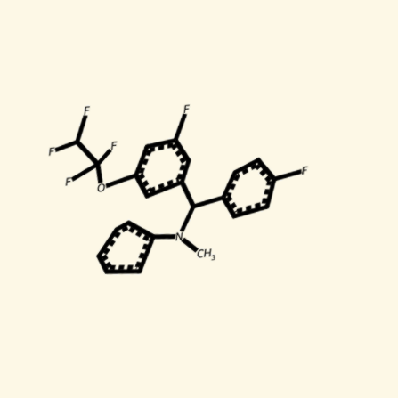 CN(c1ccccc1)C(c1ccc(F)cc1)c1cc(F)cc(OC(F)(F)C(F)F)c1